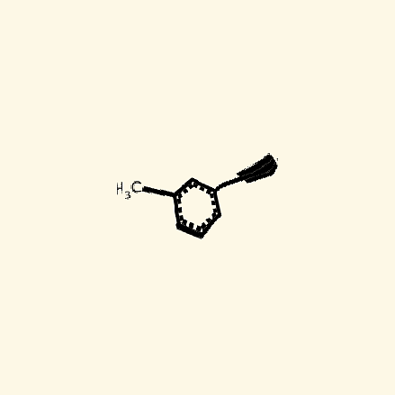 [C]#Cc1cccc(C)c1